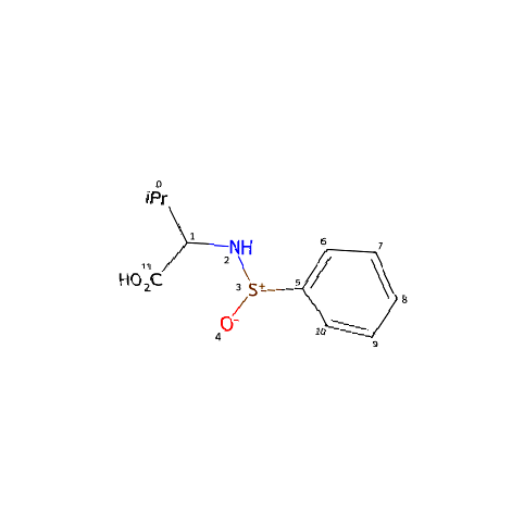 CC(C)C(N[S+]([O-])c1ccccc1)C(=O)O